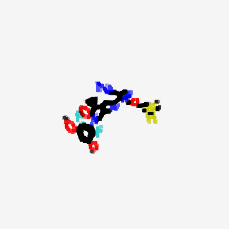 COc1cc(OC)c(F)c(N2Cc3cnc(-c4c(C#N)cnn4COCC[SH](C)(C)(C)C)cc3C3(CC3)C2=O)c1F